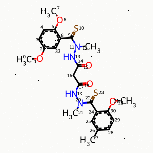 COc1ccc(OC)c(C(=S)N(C)NC(=O)CC(=O)NN(C)C(=S)c2cc(C)ccc2OC)c1